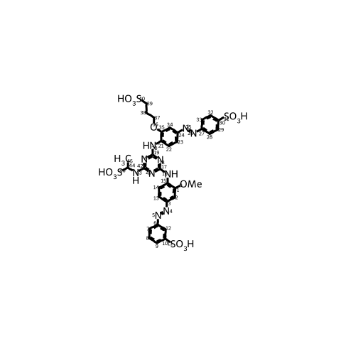 COc1cc(N=Nc2cccc(S(=O)(=O)O)c2)ccc1Nc1nc(Nc2ccc(N=Nc3ccc(S(=O)(=O)O)cc3)cc2OCCCS(=O)(=O)O)nc(NC(C)S(=O)(=O)O)n1